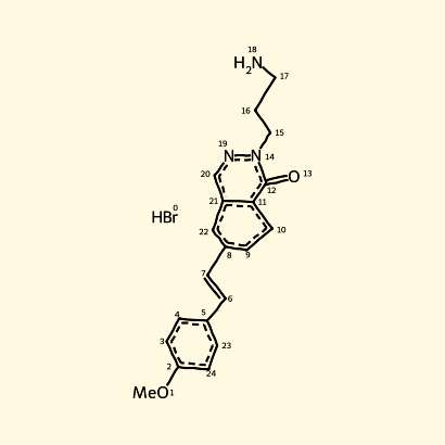 Br.COc1ccc(/C=C/c2ccc3c(=O)n(CCCN)ncc3c2)cc1